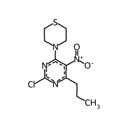 CCCc1nc(Cl)nc(N2CCSCC2)c1[N+](=O)[O-]